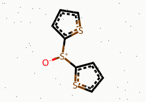 [O-][S+](c1cccs1)c1cccs1